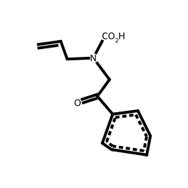 C=CCN(CC(=O)c1ccccc1)C(=O)O